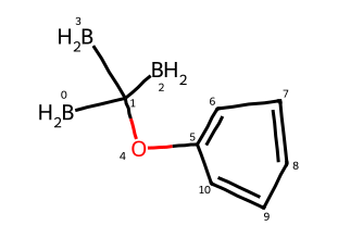 BC(B)(B)Oc1ccccc1